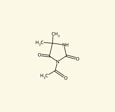 CC(=O)N1C(=O)NC(C)(C)C1=O